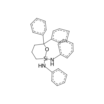 c1ccc(N[Si]2(Nc3ccccc3)CCCC(c3ccccc3)(c3ccccc3)O2)cc1